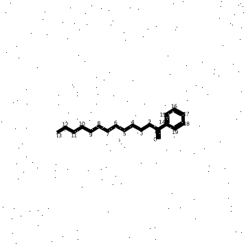 C=C(CCCCCCCCCCCC)c1ccccc1